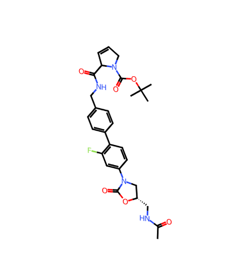 CC(=O)NC[C@H]1CN(c2ccc(-c3ccc(CNC(=O)C4C=CCN4C(=O)OC(C)(C)C)cc3)c(F)c2)C(=O)O1